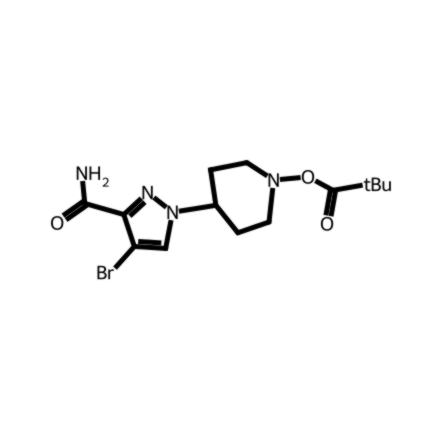 CC(C)(C)C(=O)ON1CCC(n2cc(Br)c(C(N)=O)n2)CC1